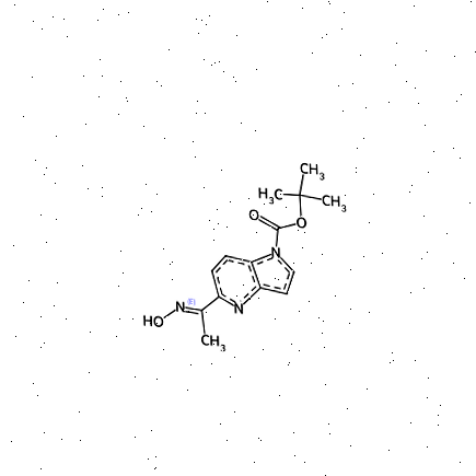 C/C(=N\O)c1ccc2c(ccn2C(=O)OC(C)(C)C)n1